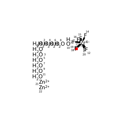 O.O.O.O.O.O.O.O.O.O.O.O.[F][Zr-4]([F])([F])([F])([F])([F])([F])[F].[Zn+2].[Zn+2]